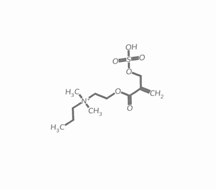 C=C(COS(=O)(=O)O)C(=O)OCC[N+](C)(C)CCC